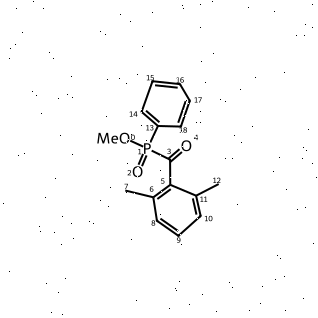 COP(=O)(C(=O)c1c(C)cccc1C)c1ccccc1